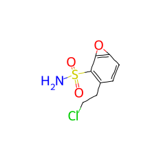 NS(=O)(=O)c1c(CCCl)ccc2c1O2